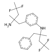 CC(F)(F)CC(C)(N)Cc1cccc(NC(C)(Cc2ccccc2)CC(C)(F)F)c1